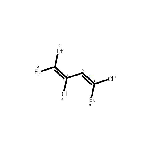 CCC(CC)=C(Cl)/C=C(/Cl)CC